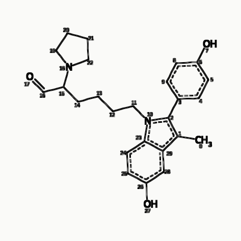 Cc1c(-c2ccc(O)cc2)n(CCCCC(C=O)N2CCCC2)c2ccc(O)cc12